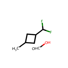 CC1CC(C(F)F)C1.O=CO